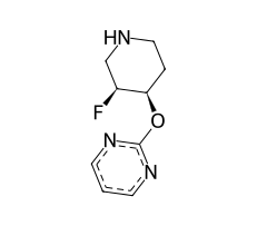 F[C@H]1CNCC[C@H]1Oc1ncccn1